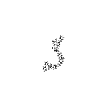 O=C(Nc1ccccc1-c1ccccc1)OC1CCN(CCCc2ccc(Nc3ccc(CCNC[C@@H](O)c4ccc(OCc5ccccc5)c5[nH]c(=O)ccc45)cc3)cc2)CC1